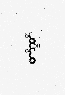 CCC(Cc1cc(C(=O)OC)ccc1O)C(=O)/C=C/c1ccccc1